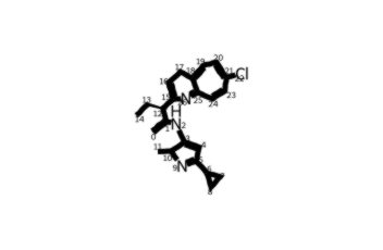 C=C(NC1=CC(C2CC2)=NC1C)[C@@H](CC)C1=CCC2=CC=C(Cl)C=CC2=N1